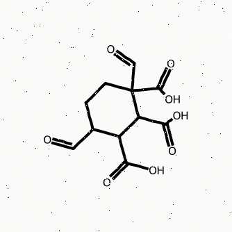 O=CC1CCC(C=O)(C(=O)O)C(C(=O)O)C1C(=O)O